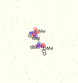 COC(=O)[C@H](Cc1ccc2ccccc2c1)NC(=O)[C@@H]1Cc2ccc([C@H]3C[C@@H](C(=O)N[C@@H](Cc4ccc5ccccc5c4)C(=O)OC)N(C(=O)OC(C)(C)C)C3)cc2CN1C(=O)OC(C)(C)C